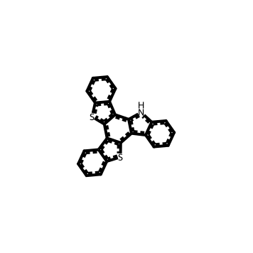 c1ccc2c(c1)[nH]c1c2c2sc3ccccc3c2c2sc3ccccc3c12